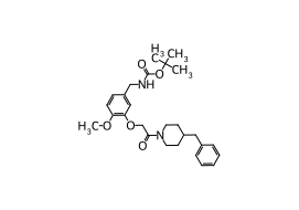 COc1ccc(CNC(=O)OC(C)(C)C)cc1OCC(=O)N1CCC(Cc2ccccc2)CC1